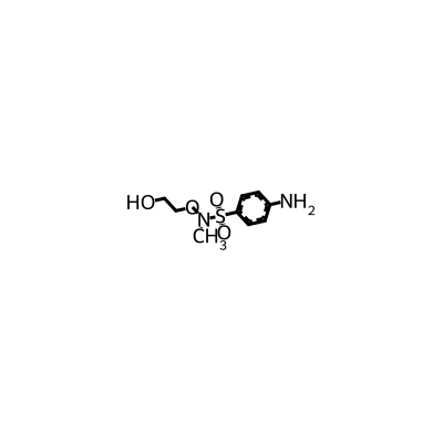 CN(OCCO)S(=O)(=O)c1ccc(N)cc1